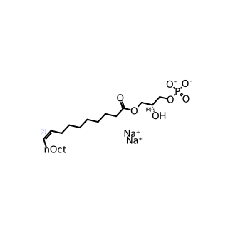 CCCCCCCC/C=C\CCCCCCCC(=O)OC[C@@H](O)COP(=O)([O-])[O-].[Na+].[Na+]